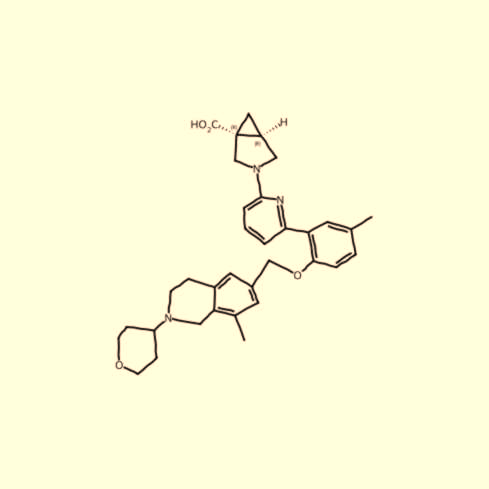 Cc1ccc(OCc2cc(C)c3c(c2)CCN(C2CCOCC2)C3)c(-c2cccc(N3C[C@@H]4C[C@]4(C(=O)O)C3)n2)c1